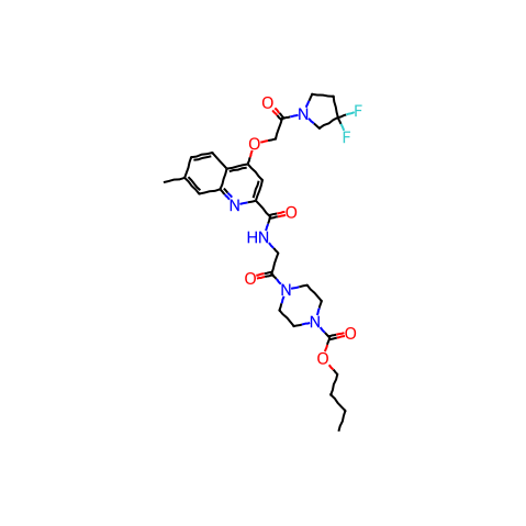 CCCCOC(=O)N1CCN(C(=O)CNC(=O)c2cc(OCC(=O)N3CCC(F)(F)C3)c3ccc(C)cc3n2)CC1